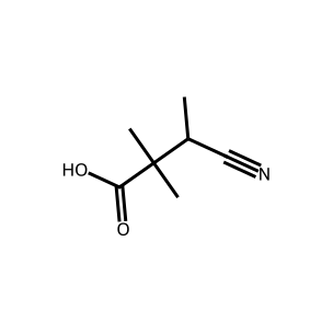 CC(C#N)C(C)(C)C(=O)O